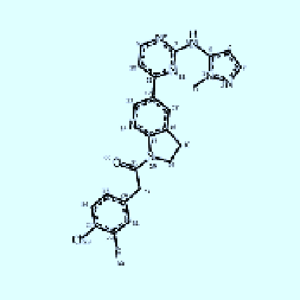 Cn1nccc1Nc1nccc(-c2cnc3c(c2)CCN3C(=O)Cc2ccc(Cl)c(F)c2)n1